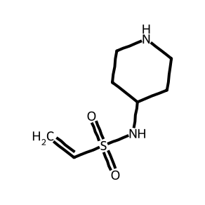 C=CS(=O)(=O)NC1CCNCC1